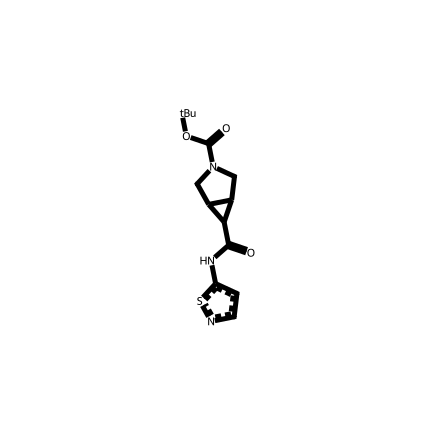 CC(C)(C)OC(=O)N1CC2C(C1)C2C(=O)Nc1ccns1